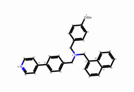 COc1ccc(CN(Cc2ccc(-c3ccncc3)cc2)Cc2cccc3ccccc23)cc1